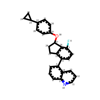 Fc1ccc(-c2cccc3ncccc23)c2c1C(Oc1ccc(C3CC3)cc1)CC2